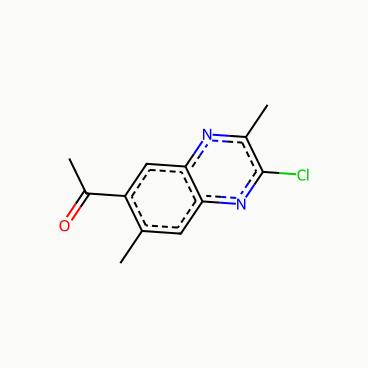 CC(=O)c1cc2nc(C)c(Cl)nc2cc1C